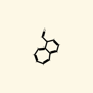 O=CC1C=CC=C2C=CC=CC=C21